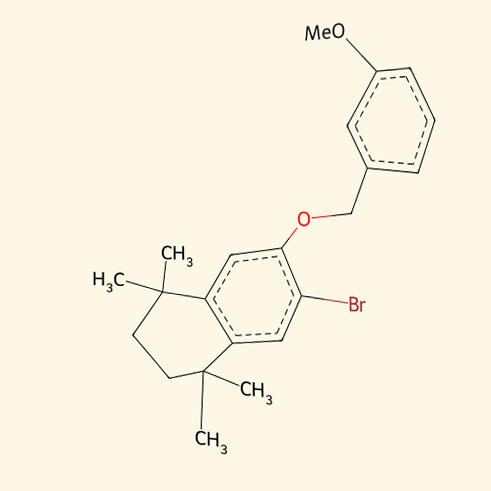 COc1cccc(COc2cc3c(cc2Br)C(C)(C)CCC3(C)C)c1